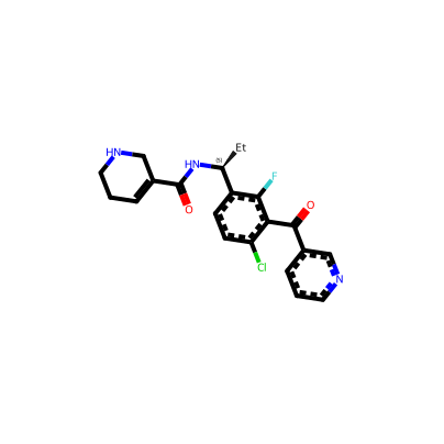 CC[C@H](NC(=O)C1=CCCNC1)c1ccc(Cl)c(C(=O)c2cccnc2)c1F